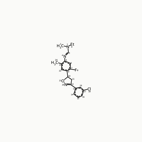 CCN(C)C=Nc1cc(F)c(C2CC(c3cccc(Cl)c3)=NO2)cc1C